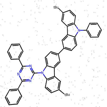 CC(C)(C)c1ccc2c(c1)c1cc(-c3ccc4c(c3)c3cc(C(C)(C)C)ccc3n4-c3nc(-c4ccccc4)nc(-c4ccccc4)n3)ccc1n2-c1ccccc1